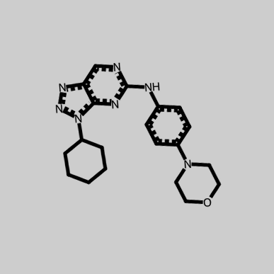 c1cc(N2CCOCC2)ccc1Nc1ncc2nnn(C3CCCCC3)c2n1